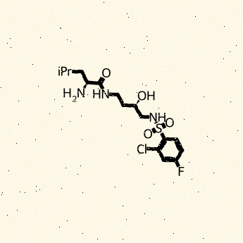 CC(C)C[C@H](N)C(=O)NCC[C@H](O)CNS(=O)(=O)c1ccc(F)cc1Cl